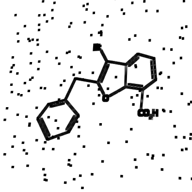 CCc1c(Cc2ccccc2)oc2c(C(=O)O)cccc12